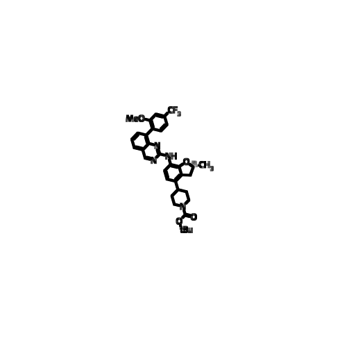 COc1cc(C(F)(F)F)ccc1-c1cccc2cnc(Nc3ccc(C4CCN(C(=O)OC(C)(C)C)CC4)c4c3O[C@H](C)C4)nc12